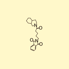 O=C(CCCCN1C(=O)c2ccccc2C1=O)N1CCC2CCCCC2C1